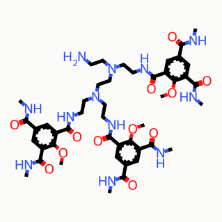 CNC(=O)c1cc(C(=O)NC)c(OC)c(C(=O)NCCN(CCN)CCN(CCNC(=O)c2cc(C(=O)NC)cc(C(=O)NC)c2OC)CCNC(=O)c2cc(C(=O)NC)cc(C(=O)NC)c2OC)c1